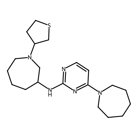 c1cc(N2CCCCCC2)nc(NC2CCCCN(C3CCSC3)C2)n1